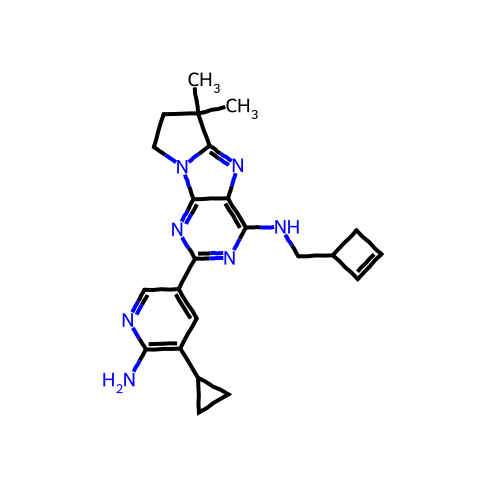 CC1(C)CCn2c1nc1c(NCC3C=CC3)nc(-c3cnc(N)c(C4CC4)c3)nc12